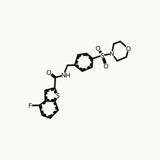 O=C(NCc1ccc(S(=O)(=O)N2CCOCC2)cc1)c1cc2c(F)cccc2s1